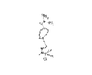 CN(/N=C/c1ccc(OP(P)P)cc1)P(=S)(Cl)Cl